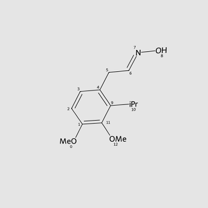 COc1ccc(CC=NO)c(C(C)C)c1OC